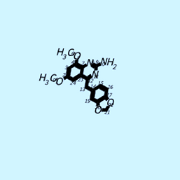 COc1cc(OC)c2nc(N)nc(Cc3ccc4c(c3)OCO4)c2c1